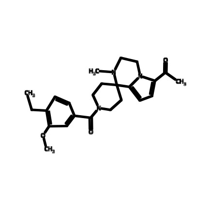 CCc1ccc(C(=O)N2CCC3(CC2)c2ccc(C(C)=O)n2CCN3C)cc1OC